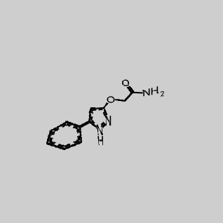 NC(=O)COc1cc(-c2ccccc2)[nH]n1